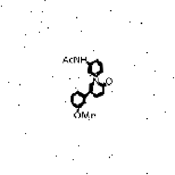 COc1cccc(-c2ccc(=O)n(-c3cccc(NC(C)=O)c3)c2)c1